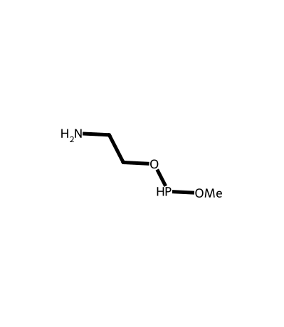 COPOCCN